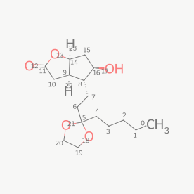 CCCCCC1(CC[C@@H]2[C@H]3CC(=O)O[C@H]3C[C@H]2O)OCCO1